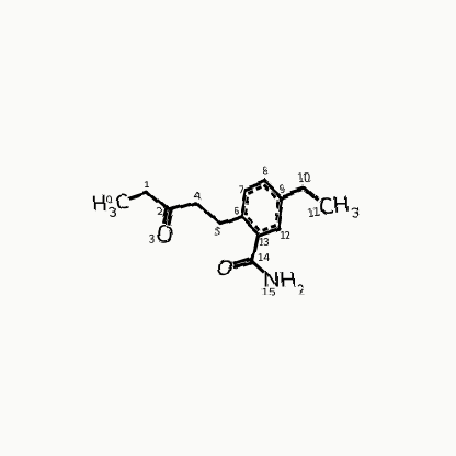 CCC(=O)CCc1ccc(CC)cc1C(N)=O